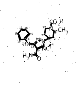 C[C@@H]1C[C@@](CC#N)(n2cc(C(N)=O)c(Nc3ccccc3)n2)CCN1C(=O)O